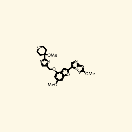 COc1cc(OCc2csc(C3(OC)CCOCC3)n2)c2cc(-c3cnc4sc(OC)nn34)oc2c1